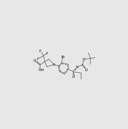 CCS(=O)(=NC(=O)OC(C)(C)C)c1ccc(N2CC(C(=O)O)(C(F)(F)F)C2)c(Br)c1